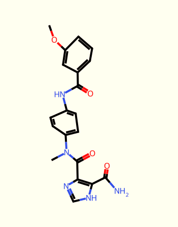 COc1cccc(C(=O)Nc2ccc(N(C)C(=O)c3nc[nH]c3C(N)=O)cc2)c1